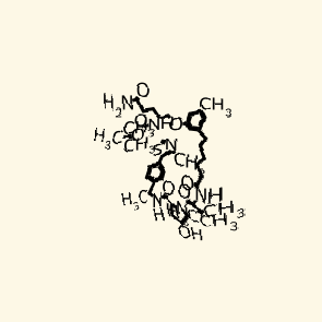 Cc1cc(CCCCCC(=O)NC(C(=O)N2C[C@H](O)C[C@H]2C(=O)NC(C)c2ccc(-c3scnc3C)cc2)C(C)(C)C)cc(OCC(CCC(N)=O)NC(=O)OC(C)(C)C)c1